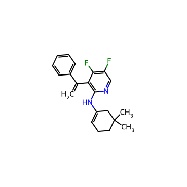 C=C(c1ccccc1)c1c(NC2=CCCC(C)(C)C2)ncc(F)c1F